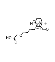 O=C[C@H]1[C@@H](CCCCOCC(=O)O)[C@H]2CC[C@@H]1O2